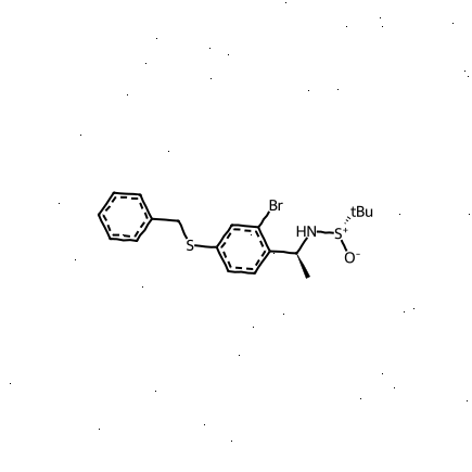 C[C@H](N[S@@+]([O-])C(C)(C)C)c1ccc(SCc2ccccc2)cc1Br